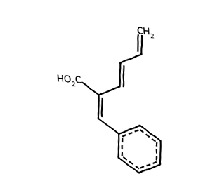 C=CC=CC(=Cc1ccccc1)C(=O)O